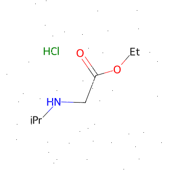 CCOC(=O)CNC(C)C.Cl